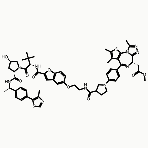 COC(=O)C[C@@H]1N=C(c2ccc(N3CCC(C(=O)NCCOc4ccc5oc(C(=O)N[C@H](C(=O)N6C[C@H](O)C[C@H]6C(=O)N[C@@H](C)c6ccc(-c7scnc7C)cc6)C(C)(C)C)cc5c4)C3)cc2)c2c(sc(C)c2C)-n2c(C)nnc21